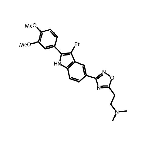 CCc1c(-c2ccc(OC)c(OC)c2)[nH]c2ccc(-c3noc(CCN(C)C)n3)cc12